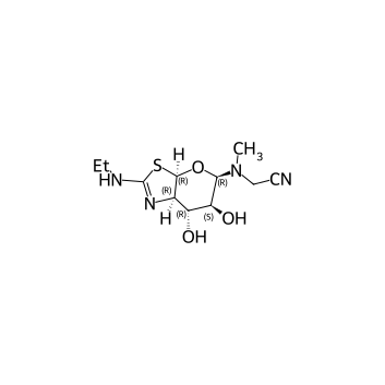 CCNC1=N[C@@H]2[C@@H](O)[C@H](O)[C@H](N(C)CC#N)O[C@@H]2S1